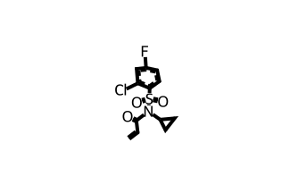 C=CC(=O)N(C1CC1)S(=O)(=O)c1ccc(F)cc1Cl